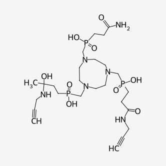 C#CCNC(=O)CCP(=O)(O)CN1CCN(CP(=O)(O)CCC(N)=O)CCN(CP(=O)(O)CCC(C)(O)NCC#C)CC1